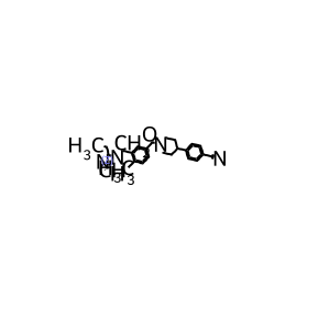 C=C(N/C(CC)=N\C)c1cc(C(=O)N2CCC(c3ccc(C#N)cc3)CC2)ccc1C